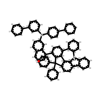 c1ccc(-c2ccc(N(c3cccc(-c4ccccc4)c3)c3ccc4cccc(-c5ccc6c7c5C(c5ccccc5)(c5ccccc5)c5ccc8c9ccccc9n(c8c5-7)-c5ccccc5-6)c4c3)cc2)cc1